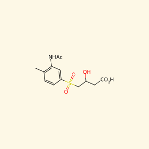 CC(=O)Nc1cc(S(=O)(=O)CC(O)CC(=O)O)ccc1C